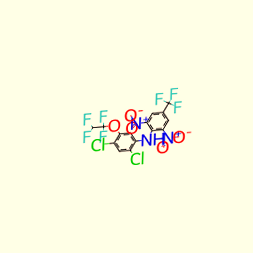 O=[N+]([O-])c1cc(C(F)(F)F)cc([N+](=O)[O-])c1Nc1cc(OC(F)(F)C(F)F)c(Cl)cc1Cl